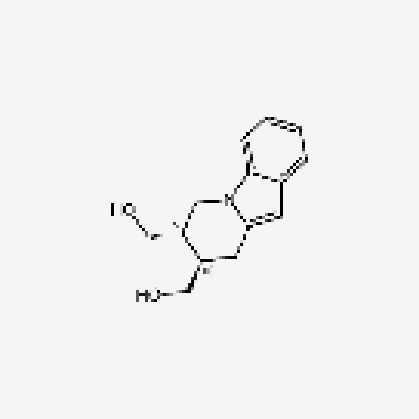 OC[C@@H]1Cc2cc3ccccc3n2C[C@H]1CO